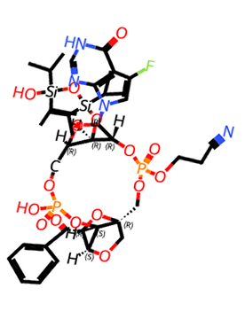 CC(C)[Si](O)(O[Si](O[C@H]1[C@H]2OP(=O)(OCCC#N)OC[C@@]34CO[C@@H]([C@H](C(=O)c5ccccc5)O3)[C@@H]4OP(=O)(O)OC[C@H]1O[C@H]2n1cc(F)c2c(=O)[nH]cnc21)(C(C)C)C(C)C)C(C)C